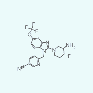 N#Cc1ccc(Cn2c(N3CC[C@@H](F)[C@H](N)C3)nc3cc(OC(F)(F)F)ccc32)nc1